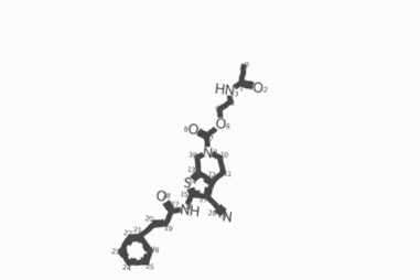 CC(=O)NCCOC(=O)N1CCc2c(sc(NC(=O)/C=C/c3ccccc3)c2C#N)C1